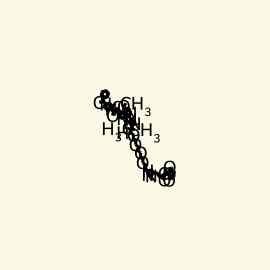 COc1cnc(-n2cnc(C(C)(C)COCCOCCOCCOCCn3cc(CCC(=O)ON4C(=O)CCC4=O)nn3)n2)c2[nH]cc(C(=O)C(=O)N3CCN(C(=O)c4ccccc4)CC3)c12